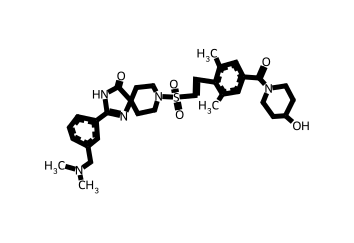 Cc1cc(C(=O)N2CCC(O)CC2)cc(C)c1/C=C/S(=O)(=O)N1CCC2(CC1)N=C(c1cccc(CN(C)C)c1)NC2=O